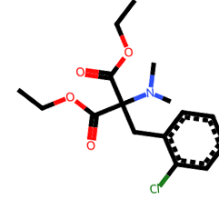 CCOC(=O)C(Cc1ccccc1Cl)(C(=O)OCC)N(C)C